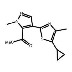 COC(=O)c1c(-c2nc(C)c(C3CC3)s2)cnn1C